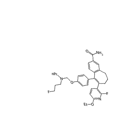 CCCN(CCCF)COc1ccc(C2=C(c3ccc(OCC)nc3F)CCCc3cc(C(N)=O)ccc32)cc1